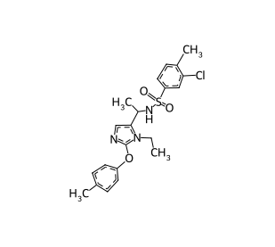 CCn1c(C(C)NS(=O)(=O)c2ccc(C)c(Cl)c2)cnc1Oc1ccc(C)cc1